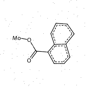 O=C([O][Mo])c1cccc2ccccc12